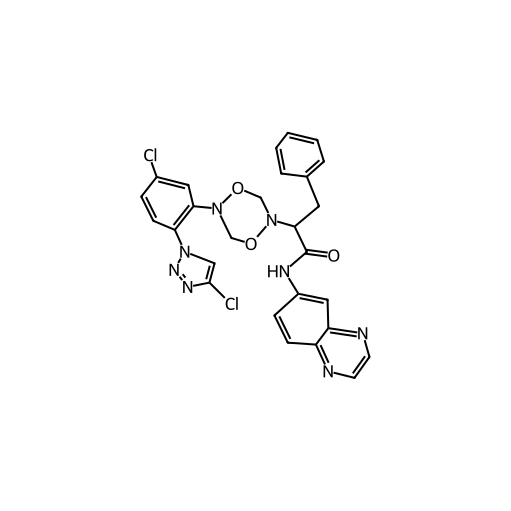 O=C(Nc1ccc2nccnc2c1)C(Cc1ccccc1)N1CON(c2cc(Cl)ccc2-n2cc(Cl)nn2)CO1